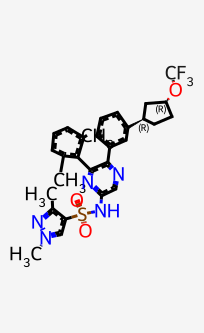 Cc1cccc(C)c1-c1nc(NS(=O)(=O)c2cn(C)nc2C)cnc1-c1cccc([C@@H]2CC[C@@H](OC(F)(F)F)C2)c1